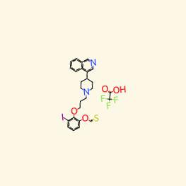 O=C(O)C(F)(F)F.S=COc1cccc(I)c1OCCCN1CCC(c2cncc3ccccc23)CC1